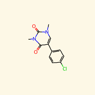 Cn1cc(-c2ccc(Cl)cc2)c(=O)n(C)c1=O